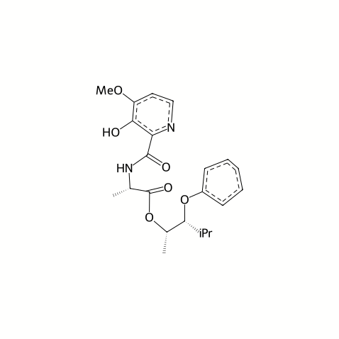 COc1ccnc(C(=O)N[C@@H](C)C(=O)O[C@@H](C)[C@H](Oc2ccccc2)C(C)C)c1O